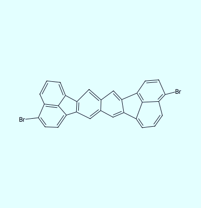 Brc1ccc2c3cc4cc5c(cc4cc3c3cccc1c32)c1ccc(Br)c2cccc5c21